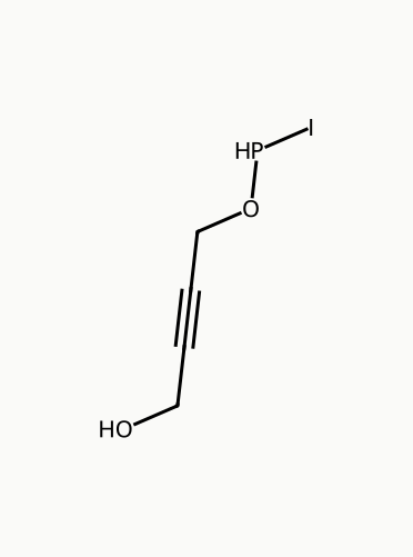 OCC#CCOPI